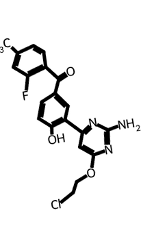 Cc1ccc(C(=O)c2ccc(O)c(-c3cc(OCCCl)nc(N)n3)c2)c(F)c1